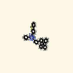 c1ccc(-c2nc(-c3cccc(-c4cccc5c4-c4ccccc4C54c5ccccc5-c5ccccc54)c3)nc(-c3ccc4c(c3)sc3ccccc34)n2)cc1